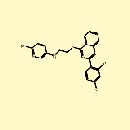 N#Cc1ccc(NCCNc2nc(-c3ccc(Cl)cc3Cl)nc3ccccc23)cn1